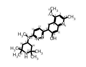 COc1cc(C)nc2c1CC(c1ccc(N(C)C3CC(C)(C)NC(C)(C)C3)nn1)C(O)=C2